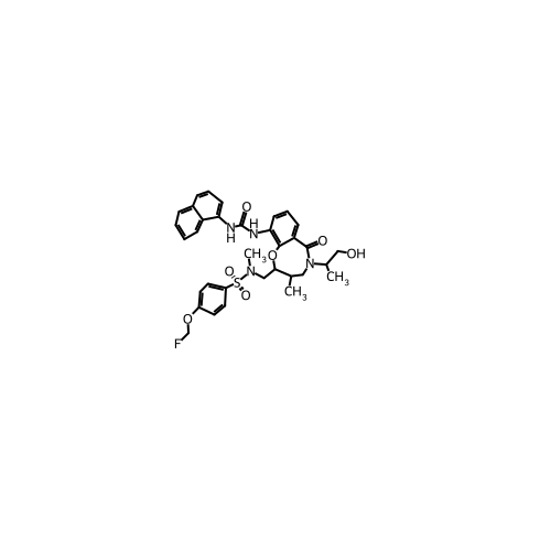 CC1CN(C(C)CO)C(=O)c2cccc(NC(=O)Nc3cccc4ccccc34)c2OC1CN(C)S(=O)(=O)c1ccc(OCF)cc1